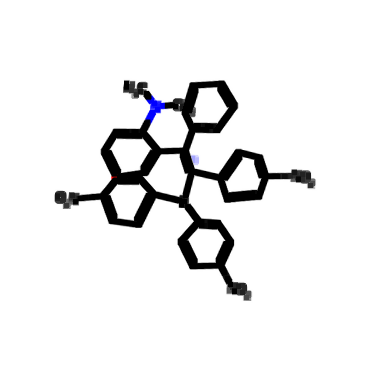 CN(C)c1ccccc1/C(=C(\B(c1ccc([N+](=O)[O-])cc1)c1ccc([N+](=O)[O-])cc1)c1ccc([N+](=O)[O-])cc1)c1ccccc1